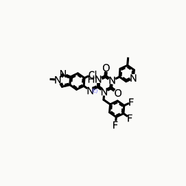 Cc1cncc(-n2c(=O)[nH]/c(=N\c3cc4cn(C)nc4cc3Cl)n(Cc3cc(F)c(F)c(F)c3)c2=O)c1